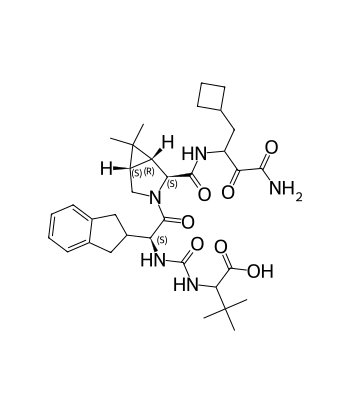 CC(C)(C)C(NC(=O)N[C@H](C(=O)N1C[C@H]2[C@@H]([C@H]1C(=O)NC(CC1CCC1)C(=O)C(N)=O)C2(C)C)C1Cc2ccccc2C1)C(=O)O